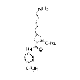 NCCCCCC1CC(C(=O)Nc2ccc(C(=O)O)cc2)N(C=O)C1